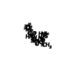 CCOC(=O)C(NC(=O)c1nccs1)c1csc(NC(=O)OCc2ccccc2)n1